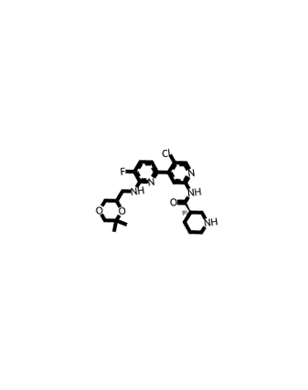 CC1(C)COCC(CNc2nc(-c3cc(NC(=O)[C@@H]4CCCNC4)ncc3Cl)ccc2F)O1